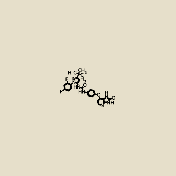 CC(C)(C)c1cc(NC(=O)Nc2ccc(Oc3ccnc4[nH]c(=O)[nH]c34)cc2)n(-c2ccc(F)cc2F)n1